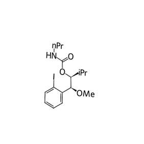 CCCNC(=O)O[C@@H](C(C)C)[C@@H](OC)c1ccccc1I